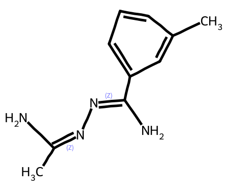 C/C(N)=N/N=C(\N)c1cccc(C)c1